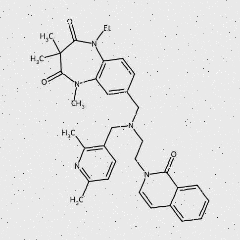 CCN1C(=O)C(C)(C)C(=O)N(C)c2cc(CN(CCn3ccc4ccccc4c3=O)Cc3ccc(C)nc3C)ccc21